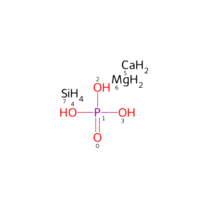 O=P(O)(O)O.[CaH2].[MgH2].[SiH4]